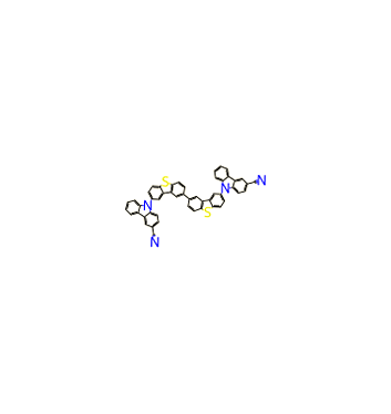 N#Cc1ccc2c(c1)c1ccccc1n2-c1ccc2sc3ccc(-c4ccc5sc6ccc(-n7c8ccccc8c8cc(C#N)ccc87)cc6c5c4)cc3c2c1